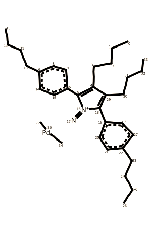 CCCCC1=C(c2ccc(CCCC)cc2)[N+](=[N-])C(c2ccc(CCCC)cc2)=C1CCCC.[CH3][Pd][CH3]